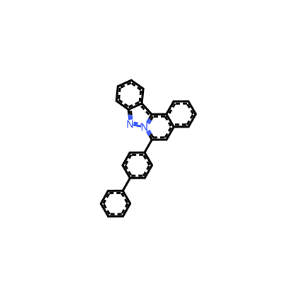 c1ccc(-c2ccc(-c3cc4ccccc4c4c5ccccc5nn34)cc2)cc1